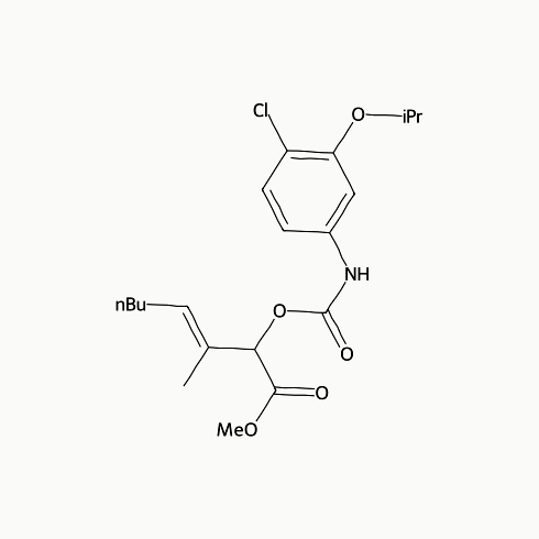 CCCCC=C(C)C(OC(=O)Nc1ccc(Cl)c(OC(C)C)c1)C(=O)OC